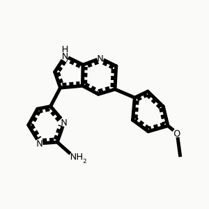 COc1ccc(-c2cnc3[nH]cc(-c4ccnc(N)n4)c3c2)cc1